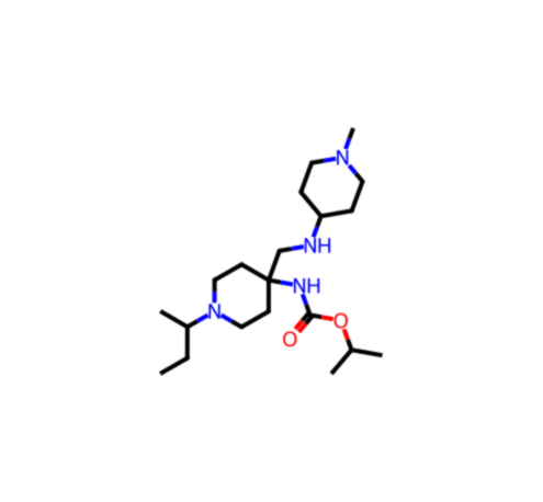 CCC(C)N1CCC(CNC2CCN(C)CC2)(NC(=O)OC(C)C)CC1